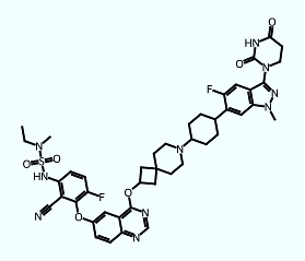 CCN(C)S(=O)(=O)Nc1ccc(F)c(Oc2ccc3ncnc(OC4CC5(CCN(C6CCC(c7cc8c(cc7F)c(N7CCC(=O)NC7=O)nn8C)CC6)CC5)C4)c3c2)c1C#N